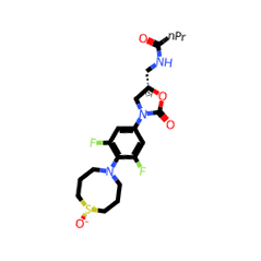 CCCC(=O)NC[C@H]1CN(c2cc(F)c(N3CCC[S+]([O-])CCC3)c(F)c2)C(=O)O1